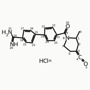 CC1CC(=C=O)CCN1C(=O)c1ccc(-c2ccc(C(=N)N)cc2)cc1.Cl